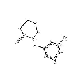 O=C1CCCCN1Cc1cncc(Br)c1